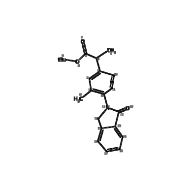 Cc1cc(C(C)C(=O)OC(C)(C)C)ccc1N1Cc2ccccc2C1=O